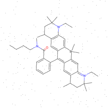 CCCCN(C)C(=O)c1ccccc1C1=c2cc3c(cc2[Si](C)(C)c2cc4c(cc21)C(C)CC(C)(C)N4CC)=[N+](CC)C(C)(C)CC3C